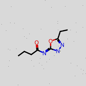 CCCC(=O)N=C1[N]N=C(CC)O1